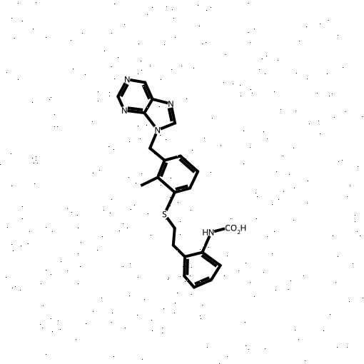 Cc1c(Cn2cnc3cncnc32)cccc1SCCc1ccccc1NC(=O)O